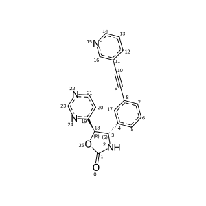 O=C1N[C@@H](c2cccc(C#Cc3cccnc3)c2)[C@H](c2ccncn2)O1